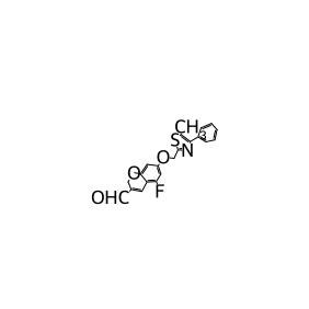 Cc1sc(COc2cc(F)c3c(c2)OCC(C=O)=C3)nc1-c1ccccc1